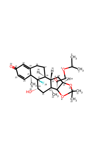 CC(C)OCC(=O)[C@@]12OC(C)(C)O[C@@H]1C[C@H]1[C@@H]3CCC4=CC(=O)C=C[C@]4(C)[C@@]3(F)[C@@H](O)C[C@@]12C